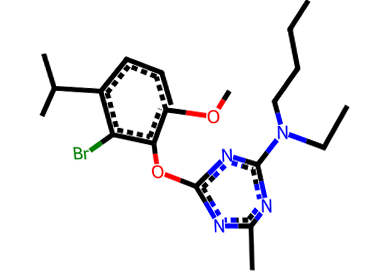 CCCCN(CC)c1nc(C)nc(Oc2c(OC)ccc(C(C)C)c2Br)n1